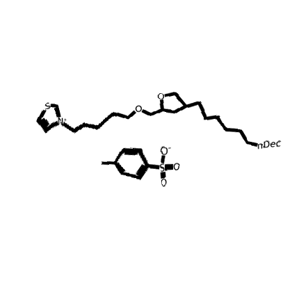 CCCCCCCCCCCCCCCCC1COC(COCCCCC[n+]2ccsc2)C1.Cc1ccc(S(=O)(=O)[O-])cc1